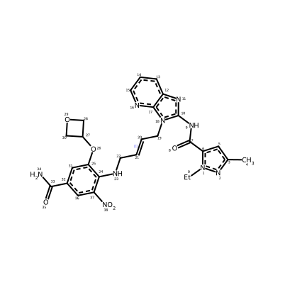 CCn1nc(C)cc1C(=O)Nc1nc2cccnc2n1C/C=C/CNc1c(OC2COC2)cc(C(N)=O)cc1[N+](=O)[O-]